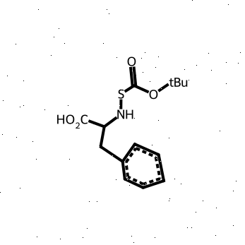 CC(C)(C)OC(=O)SNC(Cc1ccccc1)C(=O)O